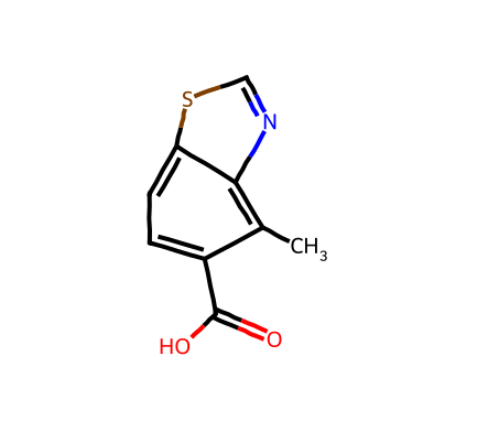 Cc1c(C(=O)O)ccc2scnc12